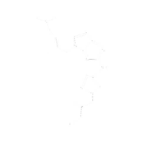 CC(C)OC(=O)Cn1cc(Nc2ncc3ccn(C[C@@H](CCN(C)C)C(C)C)c3n2)cn1